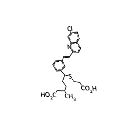 CC(CCC(SCCC(=O)O)c1cccc(C=Cc2ccc3ccc(Cl)cc3n2)c1)CC(=O)O